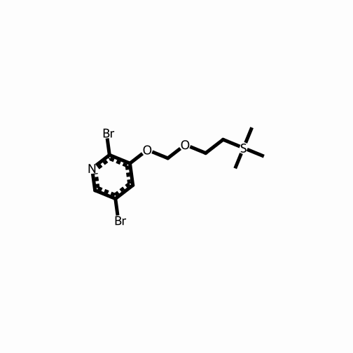 CS(C)(C)CCOCOc1cc(Br)cnc1Br